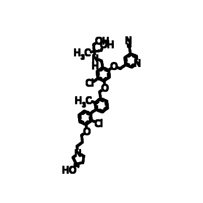 Cc1c(COc2cc(OCc3cncc(C#N)c3)c(CNC(C)(CO)CO)cc2Cl)cccc1-c1cccc(OCCCN2CC[C@@H](O)C2)c1Cl